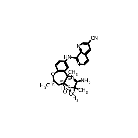 C[C@H]1C[C@@H]2[C@](C)(N=C(N)C(C)(C)S2(=O)=O)c2cc(Nc3nccc4cc(C#N)cnc34)ccc2O1